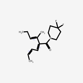 C\C=C/C=C(C(=O)N1CCC(F)(F)CC1)\C(C)=C\CC